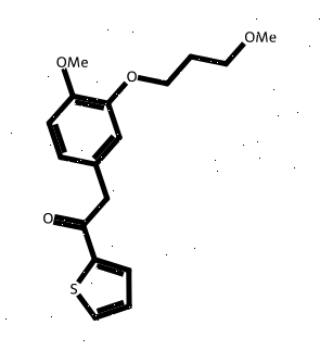 COCCCOc1cc(CC(=O)c2cccs2)ccc1OC